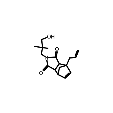 C=CCC12C=CC(C1)C1C(=O)N(CC(C)(C)CO)C(=O)C12